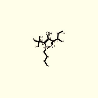 CCCCn1nc(C(C)CC)c(O)c1C(C)(C)C